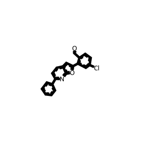 O=Cc1ccc(Cl)cc1-c1cc2ccc(-c3ccccc3)nc2o1